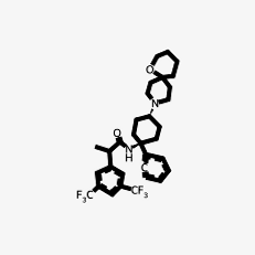 CC(C(=O)N[C@]1(c2ccccc2)CC[C@@H](N2CCC3(CCCCO3)CC2)CC1)c1cc(C(F)(F)F)cc(C(F)(F)F)c1